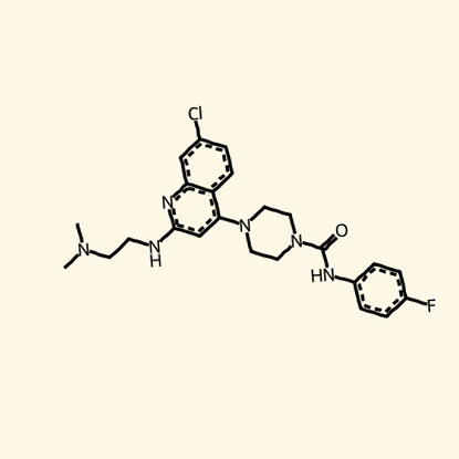 CN(C)CCNc1cc(N2CCN(C(=O)Nc3ccc(F)cc3)CC2)c2ccc(Cl)cc2n1